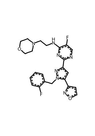 Fc1ccccc1Cn1nc(-c2ncc(F)c(NCCN3CCOCC3)n2)cc1-c1ccon1